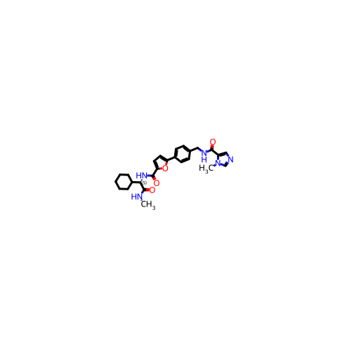 CNC(=O)[C@@H](NC(=O)c1ccc(-c2ccc(CNC(=O)c3cncn3C)cc2)o1)C1CCCCC1